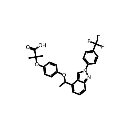 CC(Oc1ccc(OC(C)(C)C(=O)O)cc1)c1cccc2nn(-c3ccc(C(F)(F)F)cc3)cc12